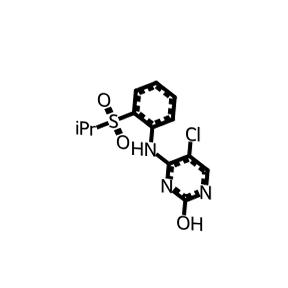 CC(C)S(=O)(=O)c1ccccc1Nc1nc(O)ncc1Cl